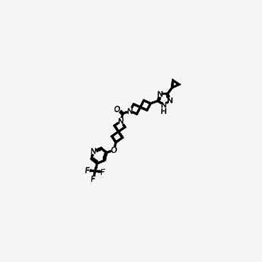 O=C(N1CC2(CC(Oc3cncc(C(F)(F)F)c3)C2)C1)N1CC2(CC(c3nc(C4CC4)n[nH]3)C2)C1